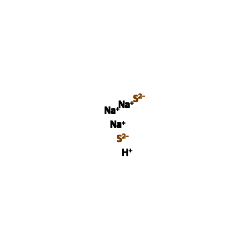 [H+].[Na+].[Na+].[Na+].[S-2].[S-2]